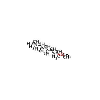 C#CC(C)(O)CCC=C(C)CCC=C(C)CCC=C(C)CCC=C(C)CCC=C(C)CCC=C(C)CCC=C(C)CCC=C(C)CCC=C(C)CCC=C(C)C